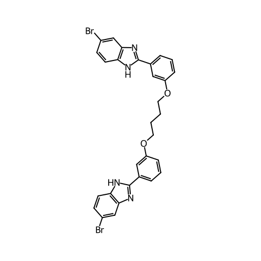 Brc1ccc2[nH]c(-c3cccc(OCCCCOc4cccc(-c5nc6cc(Br)ccc6[nH]5)c4)c3)nc2c1